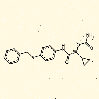 NC(=O)O[C@H](C(=O)Nc1ccc(SCc2ccccc2)cc1)C1CC1